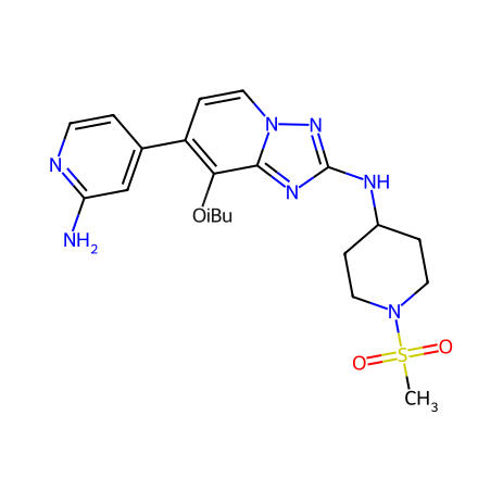 CC(C)COc1c(-c2ccnc(N)c2)ccn2nc(NC3CCN(S(C)(=O)=O)CC3)nc12